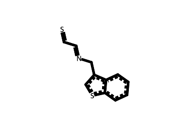 S=CC=NCc1csc2ccccc12